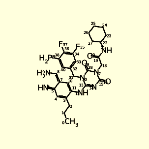 CCCC1=CC(=N)/C(=C\N)C=C1Nc1nc(=O)n(CC(=O)NC2CCCCC2)c(=O)n1Cc1cc(F)c(F)c(P)c1